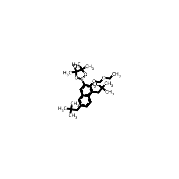 CCOCOc1c(B2OC(C)(C)C(C)(C)O2)cc2cc(CC(C)(C)C)ccc2c1CC(C)(C)C